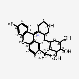 OC1CC(CC2CNCC/C2=C2\c3ccc(F)cc3Sc3ccc(C(F)(F)F)cc32)CC(O)C1O